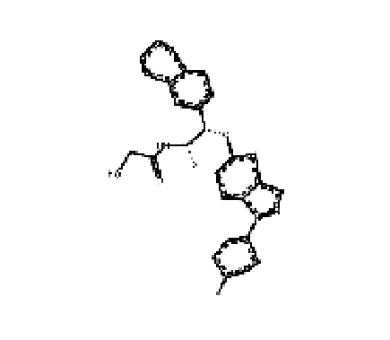 C[C@H](NC(=O)CO)[C@@H](Oc1ccc2c(cnn2-c2ccc(F)cc2)c1)c1ccc2ccccc2c1